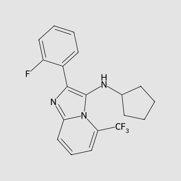 Fc1ccccc1-c1nc2cccc(C(F)(F)F)n2c1NC1CCCC1